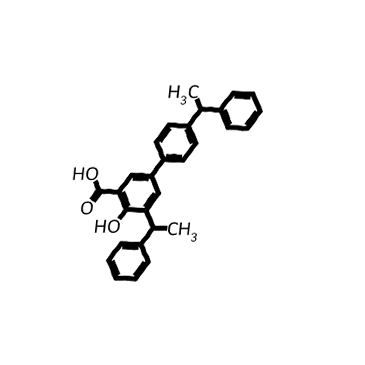 CC(c1ccccc1)c1ccc(-c2cc(C(=O)O)c(O)c(C(C)c3ccccc3)c2)cc1